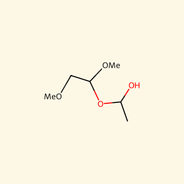 COCC(OC)OC(C)O